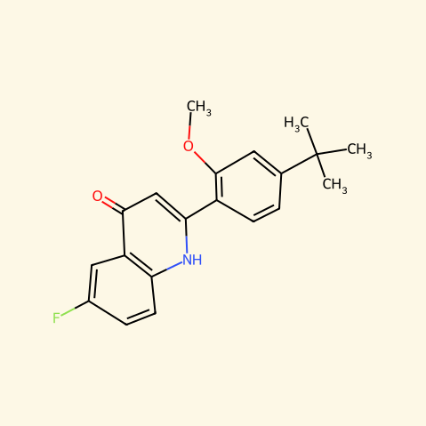 COc1cc(C(C)(C)C)ccc1-c1cc(=O)c2cc(F)ccc2[nH]1